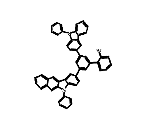 Brc1ccccc1-c1cc(-c2ccc3c(c2)c2ccccc2n3-c2ccccc2)cc(-c2ccc3c(c2)c2cc4ccccc4cc2n3-c2ccccc2)c1